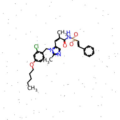 CCCCCOc1ccc(Cn2c(C=C(C)C(=O)NS(=O)(=O)C=Cc3ccccc3)cnc2C)c(Cl)c1